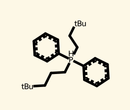 CC(C)(C)CCC[PH](CCC(C)(C)C)(c1ccccc1)c1ccccc1